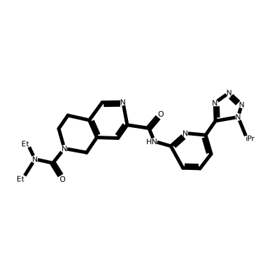 CCN(CC)C(=O)N1CCc2cnc(C(=O)Nc3cccc(-c4nnnn4C(C)C)n3)cc2C1